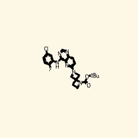 CC(C)(C)OC(=O)N1CCC12CN(c1ccc3ncnc(Nc4cc(Cl)ccc4F)c3n1)C2